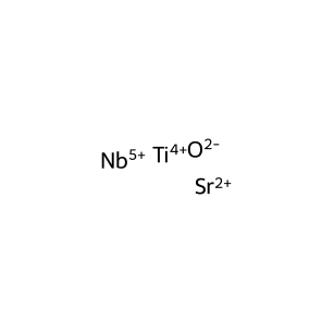 [Nb+5].[O-2].[Sr+2].[Ti+4]